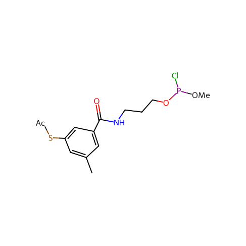 COP(Cl)OCCCNC(=O)c1cc(C)cc(SC(C)=O)c1